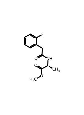 COC(=O)[C@H](C)NC(=O)Cc1ccccc1F